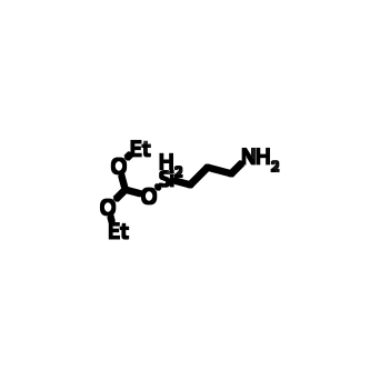 CCOC(OCC)O[SiH2]CCCN